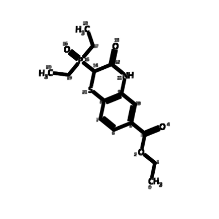 CCOC(=O)c1ccc2c(c1)NC(=O)C(P(=O)(CC)CC)S2